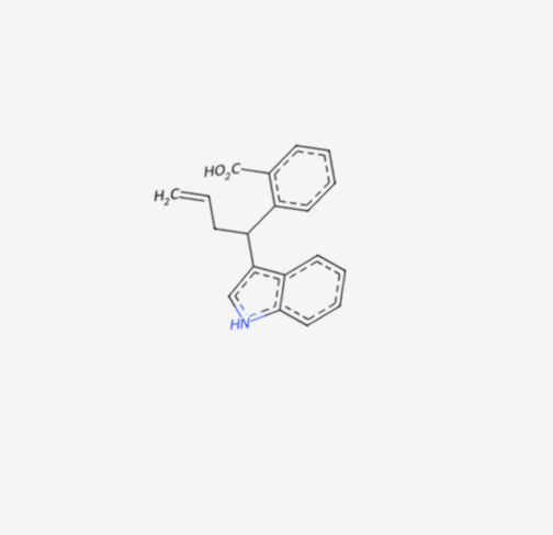 C=CCC(c1ccccc1C(=O)O)c1c[nH]c2ccccc12